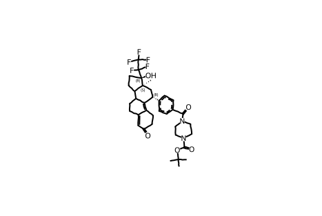 CC(C)(C)OC(=O)N1CCN(C(=O)c2ccc([C@H]3C[C@@]4(C)C(CC[C@]4(O)C(F)(F)C(F)(F)F)C4CCC5=CC(=O)CCC5=C43)cc2)CC1